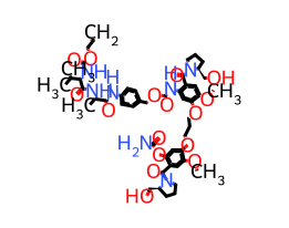 C=CCOC(=O)NC(C(=O)NC(C)C(=O)Nc1ccc(COC(=O)Nc2cc(OCCCOc3cc(OC(N)=O)c(C(=O)N4CCC[C@H]4CO)cc3OC)c(OC)cc2C(=O)N2CCC[C@H]2CO)cc1)C(C)C